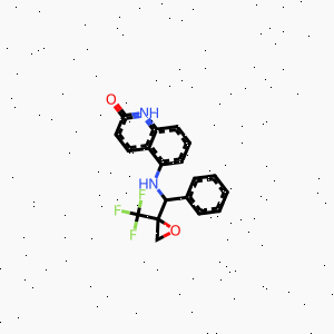 O=c1ccc2c(NC(c3ccccc3)C3(C(F)(F)F)CO3)cccc2[nH]1